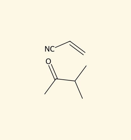 C=CC#N.CC(=O)C(C)C